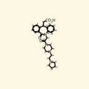 O=C(O)CC1c2ccccc2C(=O)N(CC(=O)N2CCN(CCN3CCCC3)CC2)c2ccccc21